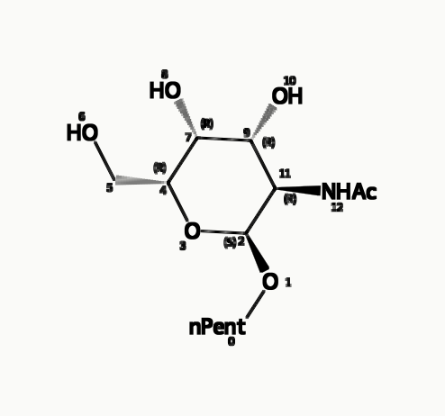 CCCCCO[C@H]1O[C@H](CO)[C@H](O)[C@H](O)[C@H]1NC(C)=O